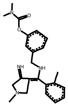 Cc1ccccc1/C(NCc1cccc(OC(=O)N(C)C)c1)=C1\CN(C)CC1=N